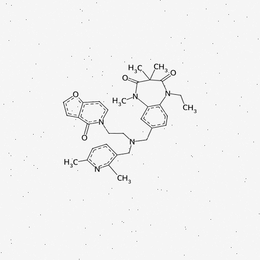 CCN1C(=O)C(C)(C)C(=O)N(C)c2cc(CN(CCn3ccc4occc4c3=O)Cc3ccc(C)nc3C)ccc21